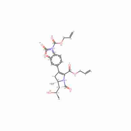 C=CCOC(=O)C1=C(c2ccc3c(c2)oc(=O)n3C(=O)OCC=C)C[C@@H]2[C@@H]([C@@H](C)O)C(=O)N12